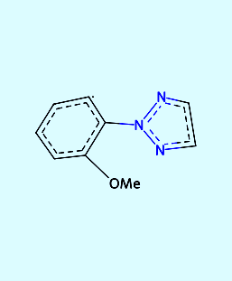 COc1ccc[c]c1-n1nccn1